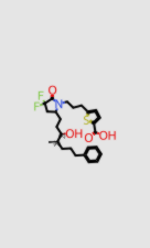 C[C@H](CCCc1ccccc1)[C@H](O)CCC1CC(F)(F)C(=O)N1CCCc1ccc(C(=O)O)s1